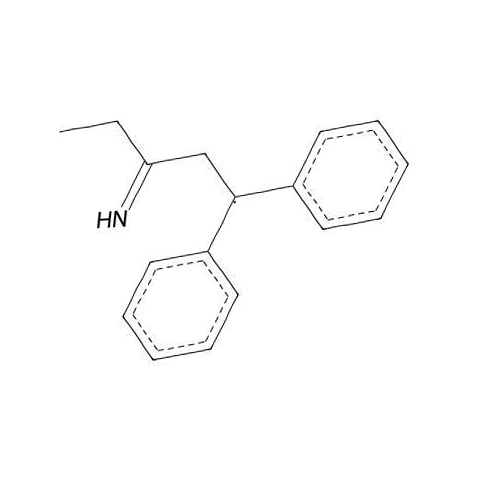 CCC(=N)C[C](c1ccccc1)c1ccccc1